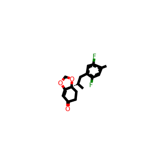 Cc1cc(F)c(CC(C)[C@]23CCC(=O)C=C2OCO3)cc1F